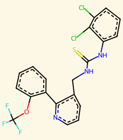 FC(F)(F)Oc1ccccc1-c1ncccc1CNC(=S)Nc1cccc(Cl)c1Cl